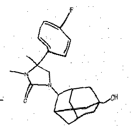 CN1C(=O)N(C2C3CC4CC2CC(O)(C4)C3)CC1(C)c1ccc(F)cc1